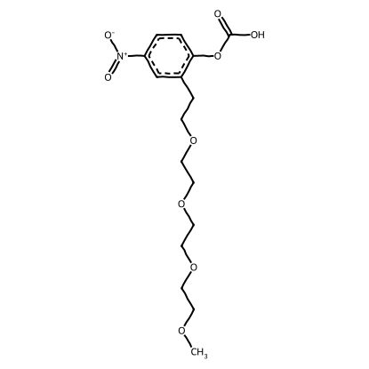 COCCOCCOCCOCCc1cc([N+](=O)[O-])ccc1OC(=O)O